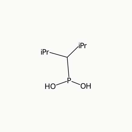 CC(C)C(C(C)C)P(O)O